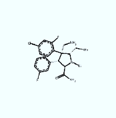 CCN1[C@@H](CC(C)(C)C)[C@](CN)(c2ccc(Cl)cc2F)[C@@H](c2cccc(F)c2)[C@@H]1C(N)=O